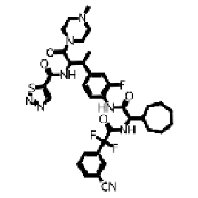 CC(c1ccc(NC(=O)C(NC(=O)C(F)(F)c2cccc(C#N)c2)C2CCCCCC2)c(F)c1)C(NC(=O)c1cnns1)C(=O)N1CCN(C)CC1